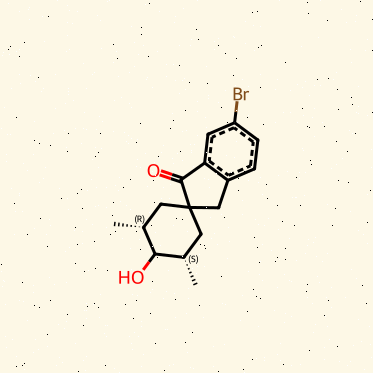 C[C@@H]1CC2(Cc3ccc(Br)cc3C2=O)C[C@H](C)C1O